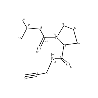 C#CCNC(=O)C1CCCN1C(=O)CC(C)C